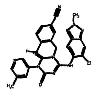 Cc1cncc(-n2c(=O)nc(Nc3cc4cn(C)nc4cc3Cl)n(Cc3cc(C#N)ccc3C(F)F)c2=O)c1